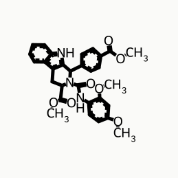 COC(=O)c1ccc(C2c3[nH]c4ccccc4c3CC(C(=O)OC)N2C(=O)Nc2ccc(OC)cc2OC)cc1